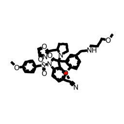 COCCCNCc1ccc(OC)c(C2(N3CCCC3c3ncco3)C(=O)N(S(=O)(=O)c3ccc(OC)cc3)c3ccc(C#N)cc32)c1